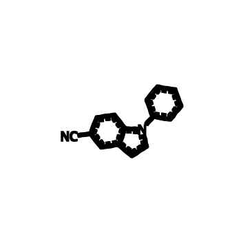 N#Cc1ccc2c(ccn2-c2ccccc2)c1